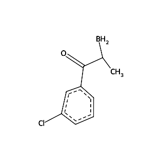 BC(C)C(=O)c1cccc(Cl)c1